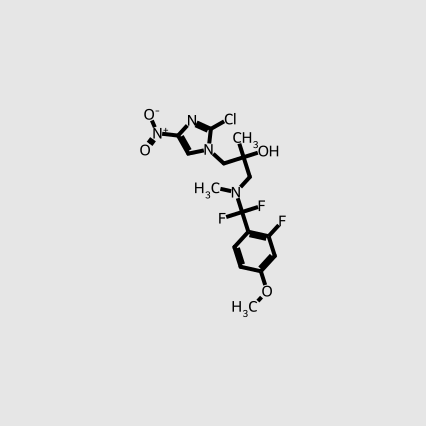 COc1ccc(C(F)(F)N(C)CC(C)(O)Cn2cc([N+](=O)[O-])nc2Cl)c(F)c1